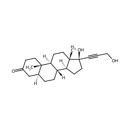 C[C@]12CCC(=O)C[C@@H]1CC[C@@H]1[C@@H]2CC[C@@]2(C)[C@H]1CC[C@@]2(O)C#CCO